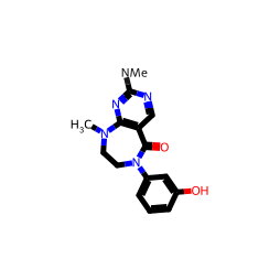 CNc1ncc2c(n1)N(C)CCN(c1cccc(O)c1)C2=O